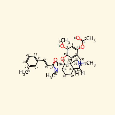 COc1cc(OC(C)=O)c2c3c1O[C@H]1[C@@H](N(C)C(=O)C=Cc4cccc(C)c4)CC[C@H]4[C@@H](C2)N(C)CC[C@@]341